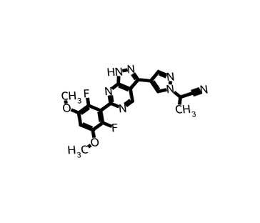 COc1cc(OC)c(F)c(-c2ncc3c(-c4cnn(C(C)C#N)c4)n[nH]c3n2)c1F